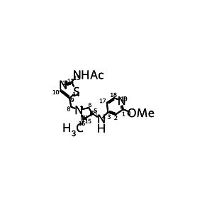 COc1cc(N[C@@H]2CN(Cc3cnc(NC(C)=O)s3)[C@@H]2C)ccn1